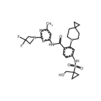 Cc1cc(NC(=O)c2ccc(NS(=O)(=O)C3(CO)CC3)cc2N2CCC3(CC2)CC3)nc(N2CC(F)(F)C2)n1